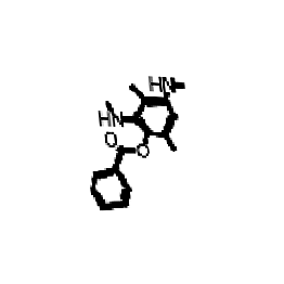 CNc1cc(C)c(OC(=O)c2ccccc2)c(NC)c1C